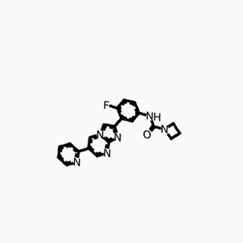 O=C(Nc1ccc(F)c(-c2cn3cc(-c4ccccn4)cnc3n2)c1)N1CCC1